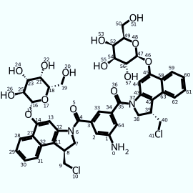 Nc1cc(C(=O)N2C[C@@H](CCl)c3c2cc(O[C@H]2O[C@@H](CO)[C@@H](O)[C@@H](O)[C@@H]2O)c2ccccc32)cc(C(=O)N2C[C@@H](CCl)c3c2cc(O[C@@H]2O[C@H](CO)[C@H](O)[C@H](O)[C@H]2O)c2ccccc32)c1